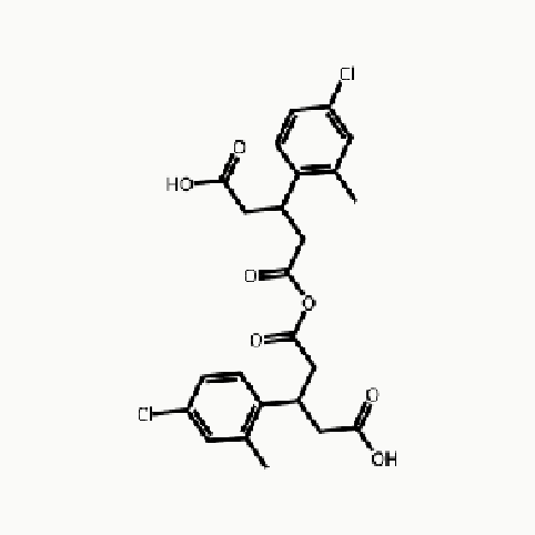 Cc1cc(Cl)ccc1C(CC(=O)O)CC(=O)OC(=O)CC(CC(=O)O)c1ccc(Cl)cc1C